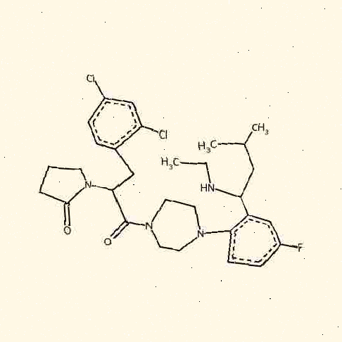 CCNC(CC(C)C)c1cc(F)ccc1N1CCN(C(=O)C(Cc2ccc(Cl)cc2Cl)N2CCCC2=O)CC1